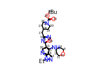 CCn1ncc2c(NC3CCOCC3)c(-c3nc(CC4CCN(C(=O)OC(C)(C)C)CC4)no3)cnc21